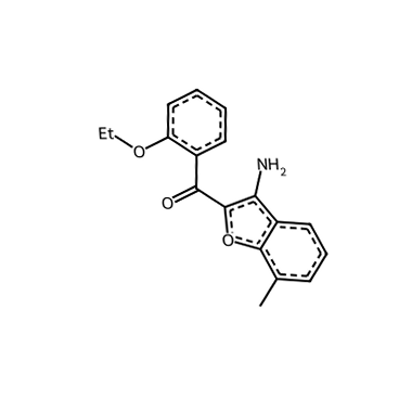 CCOc1ccccc1C(=O)c1oc2c(C)cccc2c1N